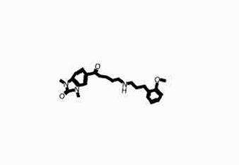 COc1ccccc1CCCNCCCCC(=O)c1ccc2c(c1)n(C)c(=O)n2C